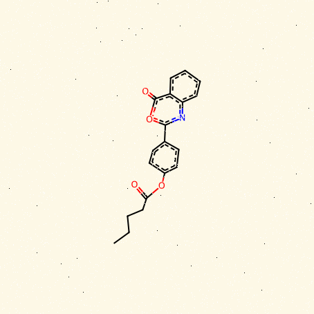 CCCCC(=O)Oc1ccc(-c2nc3ccccc3c(=O)o2)cc1